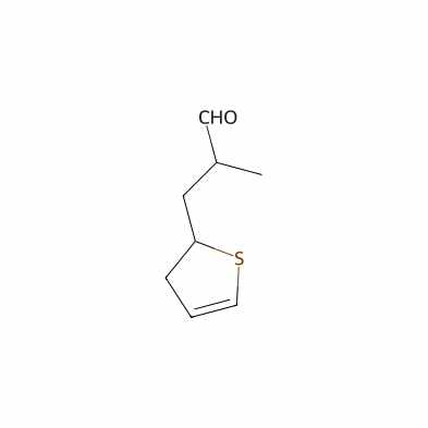 CC(C=O)CC1CC=CS1